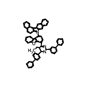 CCC1C(c2ccc(-n3c4cc5ccccc5cc4c4c5ccccc5ccc43)c3c2oc2ccccc23)=NC(c2cccc(-c3ccccc3)c2)=NC1c1ccc(-c2ccccc2)cc1